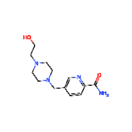 NC(=O)c1ccc(CN2CCN(CCO)CC2)cn1